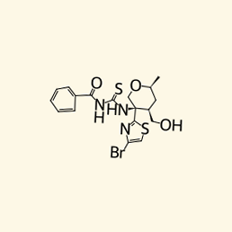 C[C@H]1C[C@@H](CO)[C@](NC(=S)NC(=O)c2ccccc2)(c2nc(Br)cs2)CO1